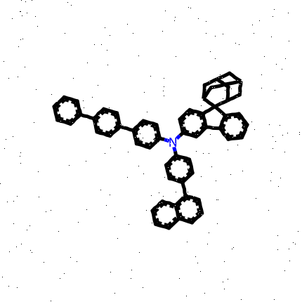 c1ccc(-c2ccc(-c3ccc(N(c4ccc(-c5cccc6ccccc56)cc4)c4ccc5c(c4)-c4ccccc4C54C5CC6CC(C5)CC4C6)cc3)cc2)cc1